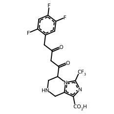 O=C(CC(=O)C1CNCc2c(C(=O)O)nc(C(F)(F)F)n21)Cc1cc(F)c(F)cc1F